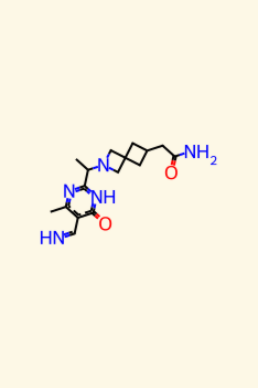 Cc1nc(C(C)N2CC3(CC(CC(N)=O)C3)C2)[nH]c(=O)c1C=N